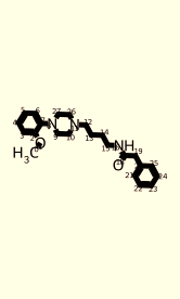 COc1ccccc1N1CCN(CCCCNC(=O)Cc2ccccc2)CC1